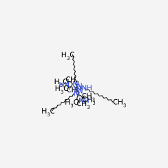 CCCCCCCCCCCCCCNc1nc(N(CCCCCCCCCCCC)C2CC(C)(C)NC(C)(C)C2)nc(N(CCCCCCCCCCCC)C2CC(C)(C)NC(C)(C)C2)n1